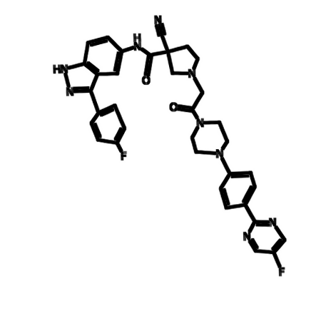 N#CC1(C(=O)Nc2ccc3[nH]nc(-c4ccc(F)cc4)c3c2)CCN(CC(=O)N2CCN(c3ccc(-c4ncc(F)cn4)cc3)CC2)C1